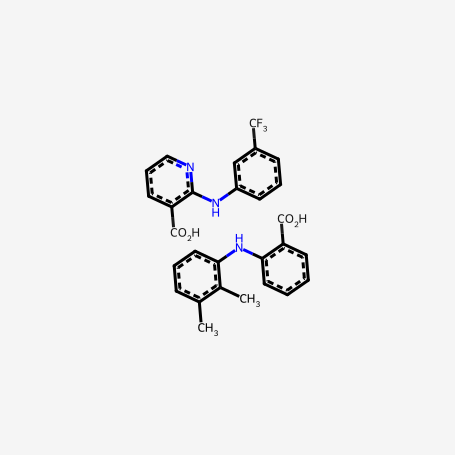 Cc1cccc(Nc2ccccc2C(=O)O)c1C.O=C(O)c1cccnc1Nc1cccc(C(F)(F)F)c1